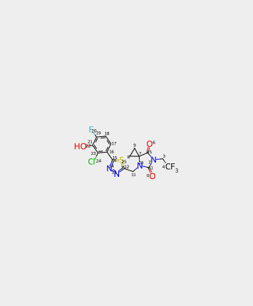 O=C1N(CC(F)(F)F)C(=O)C2(CC2)N1Cc1nnc(-c2ccc(F)c(O)c2Cl)s1